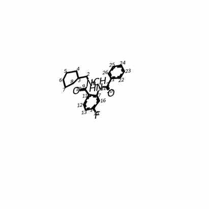 CN(CC1CCCCC1)C(=O)c1ccc(F)cc1NC(=O)c1ccccc1